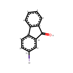 O=C1c2ccccc2-c2ccc(I)cc21